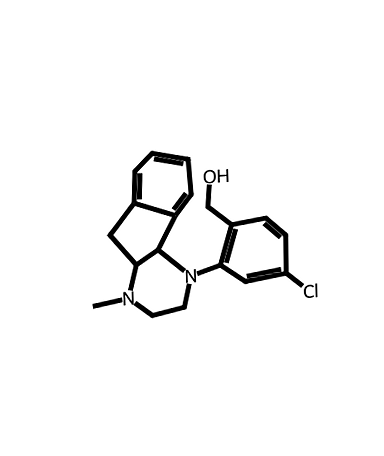 CN1CCN(c2cc(Cl)ccc2CO)C2c3ccccc3CC21